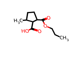 CCCOC(=O)C1CCC(C)C1C(=O)O